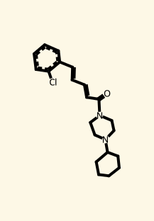 O=C(C=CC=Cc1ccccc1Cl)N1CCN(C2CCCCC2)CC1